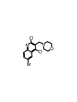 Clc1nc2ccc(Br)cc2c(Cl)c1CN1CCOCC1